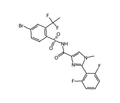 Cn1cc(C(=O)NS(=O)(=O)c2ccc(Br)cc2C(C)(F)F)nc1-c1c(F)cccc1F